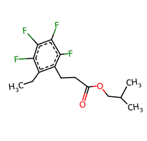 CCc1c(F)c(F)c(F)c(F)c1CCC(=O)OCC(C)C